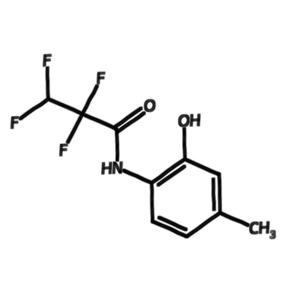 Cc1ccc(NC(=O)C(F)(F)C(F)F)c(O)c1